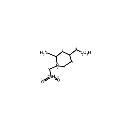 NC1CC(CC(=O)O)CCN1C[SH](=O)=O